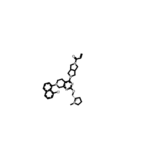 C=CC(=O)N1CC2CN(c3nc(OC[C@@H]4CCCN4C)nc4c3CCN(c3cccc5cccc(Cl)c35)C4)CC2C1